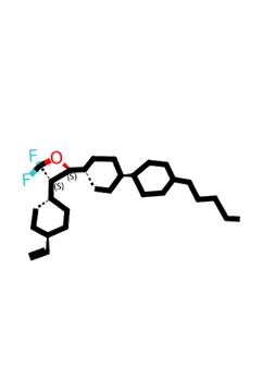 C=C[C@H]1CC[C@H]([C@H]2[C@H]([C@H]3CC[C@H](C4CCC(CCCCC)CC4)CC3)OC2(F)F)CC1